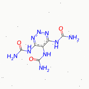 NC(=O)Nc1nnnc(NC(N)=O)c1NC(N)=O